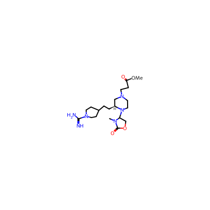 COC(=O)CCN1CCN(C2COC(=O)N2C)[C@@H](CCC2CCN(C(=N)N)CC2)C1